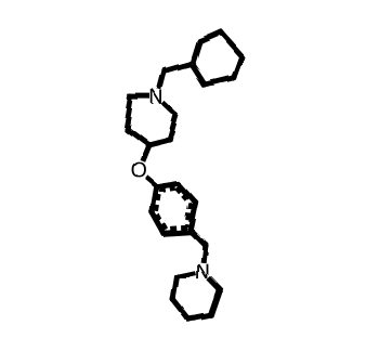 c1cc(OC2CCN(CC3CCCCC3)CC2)ccc1CN1CCCCC1